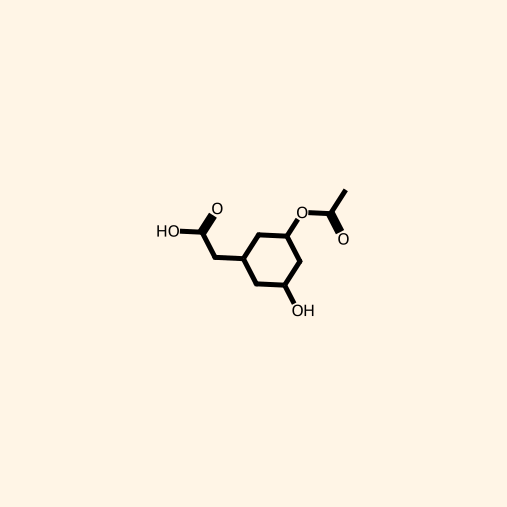 CC(=O)OC1CC(O)CC(CC(=O)O)C1